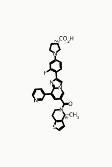 C[C@@H]1c2ccsc2CCN1C(=O)c1cc(-c2cccnc2)c2nc(-c3ccc(N4CC[C@H](C(=O)O)C4)cc3F)cn2c1